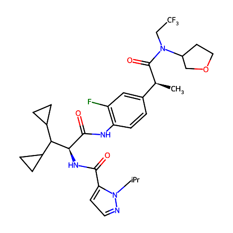 CC(C)n1nccc1C(=O)N[C@H](C(=O)Nc1ccc([C@H](C)C(=O)N(CC(F)(F)F)C2CCOC2)cc1F)C(C1CC1)C1CC1